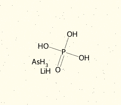 O=P(O)(O)O.[AsH3].[LiH]